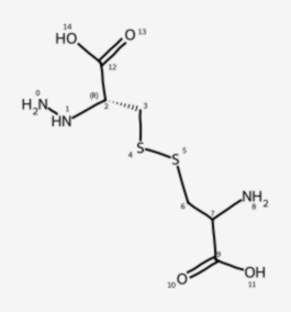 NN[C@@H](CSSCC(N)C(=O)O)C(=O)O